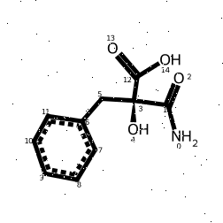 NC(=O)[C@](O)(Cc1ccccc1)C(=O)O